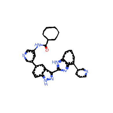 O=C(Nc1cncc(-c2ccc3[nH]nc(-c4nc5c(-c6cccnc6)cccc5[nH]4)c3c2)c1)C1CCCCC1